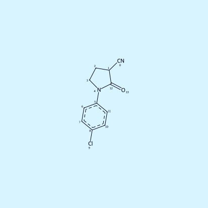 N#CC1CCN(c2ccc(Cl)cc2)C1=O